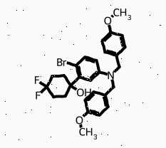 COc1ccc(CN(Cc2ccc(OC)cc2)c2ccc(Br)c(C3(O)CCC(F)(F)CC3)c2)cc1